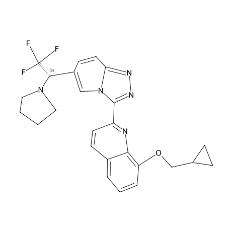 FC(F)(F)[C@H](c1ccc2nnc(-c3ccc4cccc(OCC5CC5)c4n3)n2c1)N1CCCC1